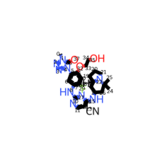 Cn1nnn(-c2cc(Nc3ncc(C#N)c(NC4C[C@@H]5CCCN5C(C)(C)C4)n3)c(F)cc2OCCO)c1=O